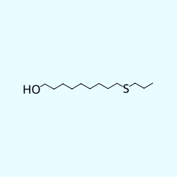 CCCSCCCCCCCCCO